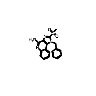 CS(=O)(=O)c1nc2c(N)nc3ccccc3c2n1Cc1ccccc1